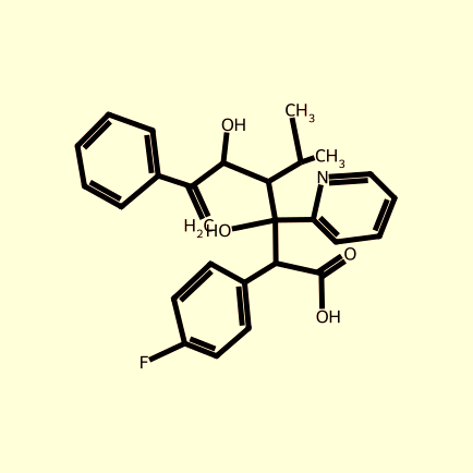 C=C(c1ccccc1)C(O)C(C(C)C)C(O)(c1ccccn1)C(C(=O)O)c1ccc(F)cc1